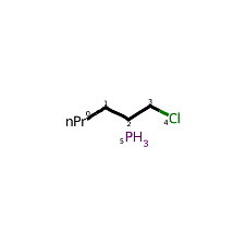 CCCCCCCl.P